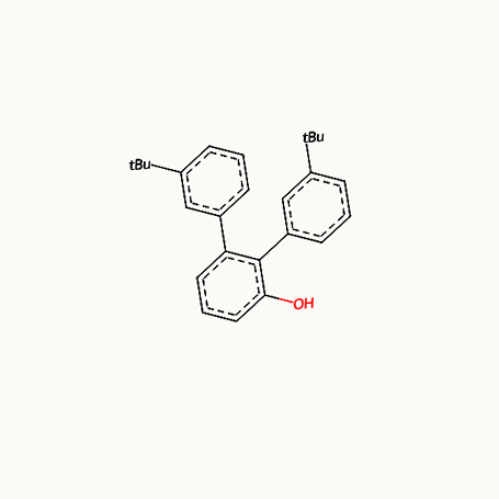 CC(C)(C)c1cccc(-c2cccc(O)c2-c2cccc(C(C)(C)C)c2)c1